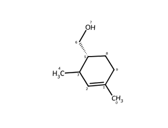 CC1=CC(C)[C@H](CO)CC1